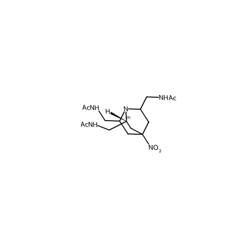 CC(=O)NCC1CC2([N+](=O)[O-])CC(CNC(C)=O)N1[C@@H](CNC(C)=O)C2